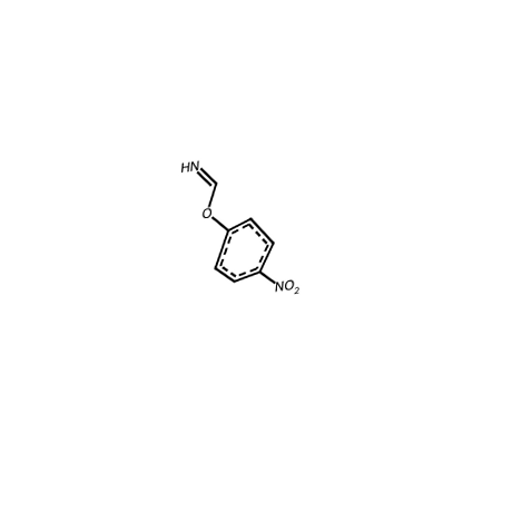 N=COc1ccc([N+](=O)[O-])cc1